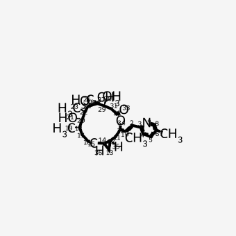 C/C(=C\c1ccc(C)cn1)C1C[C@@H]2C[C@H]2CCC[C@H](C)[C@H](O)[C@@H](C)C(=O)C(C)(C)[C@@H](O)CC(=O)O1